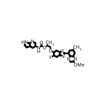 COc1cnc2c(-c3nc4cc(F)c(OC[C@@H](C)OC(=O)Nc5cnc6[nH]ccc6c5)cc4s3)cc(C)cc2n1